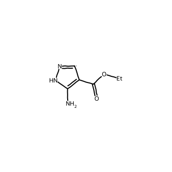 CCOC(=O)c1[c]n[nH]c1N